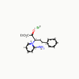 CCOC(=O)C(=O)C(CCc1ccccc1)[n+]1ccccc1N.[Br-]